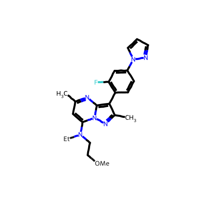 CCN(CCOC)c1cc(C)nc2c(-c3ccc(-n4cccn4)cc3F)c(C)nn12